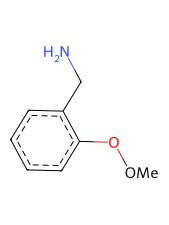 COOc1ccccc1CN